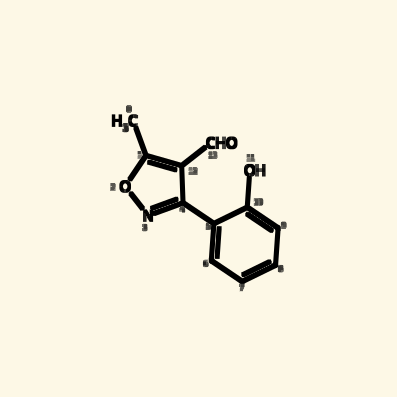 Cc1onc(-c2ccccc2O)c1C=O